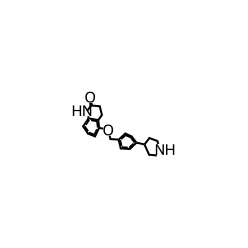 O=C1CCc2c(cccc2OCc2ccc(C3CCNCC3)cc2)N1